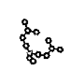 c1ccc(-c2cc(-c3ccccc3)cc(-c3cccc(-c4ccc(-c5nc(-c6ccc(-c7cccc(-c8cc(-c9ccccc9)cc(-c9ccccc9)c8)c7)cc6)c6c(ccc7ccccc76)n5)cc4)c3)c2)cc1